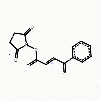 O=C(/C=C/C(=O)c1ccccc1)ON1C(=O)CCC1=O